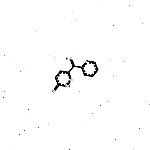 C=C(c1ccccn1)c1ccc(=O)[nH]n1